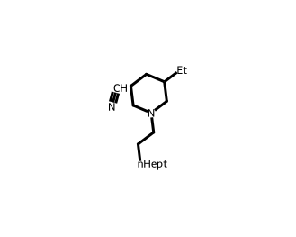 C#N.CCCCCCCCCN1CCCC(CC)C1